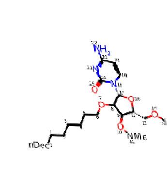 CCCCCCCCCCCCCCCCOC1C(ONC)[C@@H](COC(C)C)O[C@H]1n1ccc(N)nc1=O